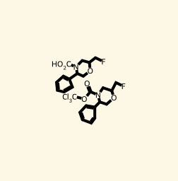 O=C(O)N1CC(CF)OCC1c1ccccc1.O=C(OC(Cl)(Cl)Cl)N1CC(CF)OCC1c1ccccc1